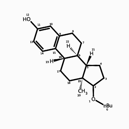 CCCCOC1CC[C@H]2[C@@H]3CCc4cc(O)ccc4[C@H]3CC[C@]12C